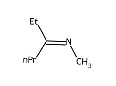 [CH2]CC(CCC)=NC